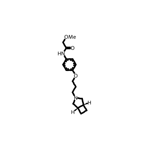 COCC(=O)Nc1ccc(OCCCN2C[C@H]3CC[C@H]3C2)cc1